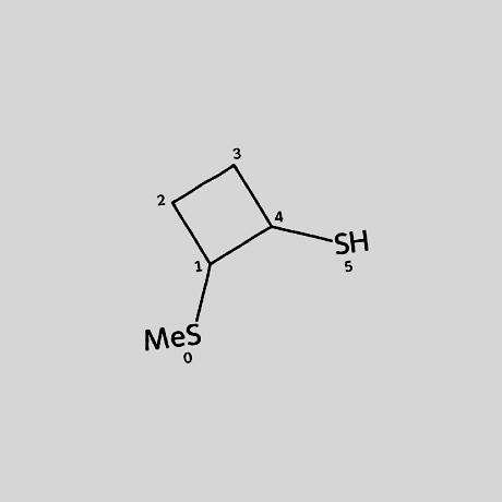 CSC1CCC1S